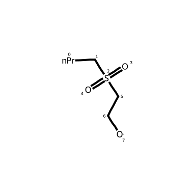 CCCCS(=O)(=O)CC[O]